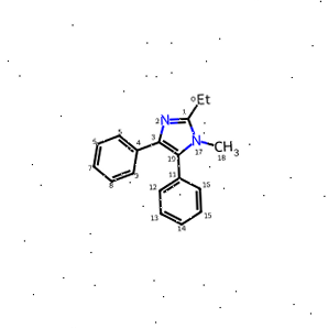 CCc1nc(-c2ccccc2)c(-c2ccccc2)n1C